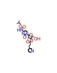 CC(C)COC(=O)Nc1ccn([C@@H]2O[C@H](CO)[C@@H](OC(=O)CCc3cccnc3)C2(F)F)c(=O)n1